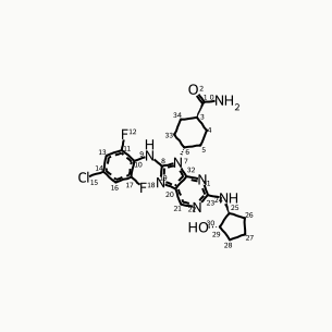 NC(=O)[C@H]1CC[C@H](n2c(Nc3c(F)cc(Cl)cc3F)nc3cnc(N[C@H]4CCC[C@@H]4O)nc32)CC1